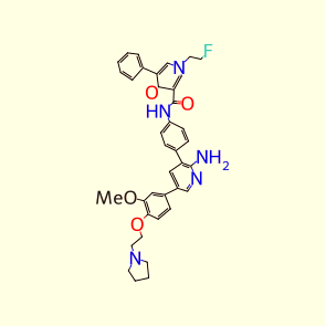 COc1cc(-c2cnc(N)c(-c3ccc(NC(=O)c4cn(CCF)cc(-c5ccccc5)c4=O)cc3)c2)ccc1OCCN1CCCC1